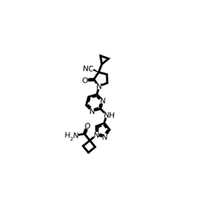 N#C[C@@]1(C2CC2)CCN(c2ccnc(Nc3cnn(C4(C(N)=O)CCC4)c3)n2)C1=O